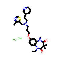 CCN1C(=O)C(C)(C)C(=O)N(C)c2cc(OCCCN(CCc3cccnc3)Cc3scnc3C)ccc21.Cl.Cl